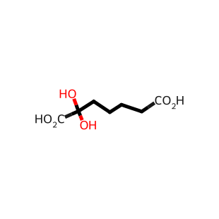 O=C(O)CCCCC(O)(O)C(=O)O